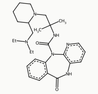 CCN(CC)CC1CCCCN1CC(C)(C)NC(=O)N1c2ccccc2C(=O)Nc2cccnc21